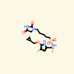 C[C@@H](NS(=O)(=O)CCCCCN1CC(=O)NC1=O)c1cc(F)c(OCC2CC2)[nH]1